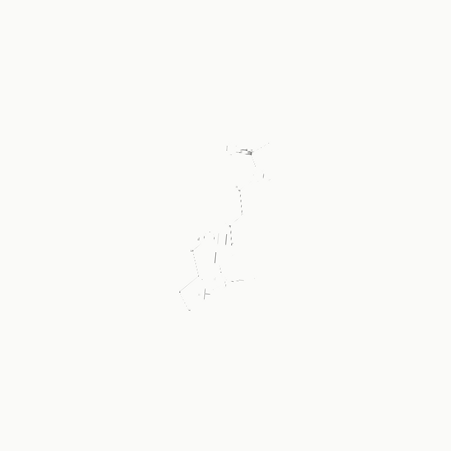 CCCCO.CCCCOC(C)=O.FB(F)F